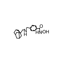 O=C(NO)c1ccc(CNCC23CC4CC(CC(C4)C2)C3)cc1